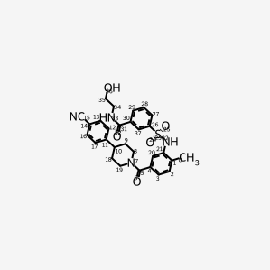 Cc1ccc(C(=O)N2CCC(c3ccc(C#N)cc3)CC2)cc1NS(=O)(=O)c1cccc(C(=O)NCCO)c1